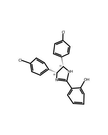 Oc1ccccc1C1=N[C@H](c2ccc(Cl)cc2)[C@H](c2ccc(Cl)cc2)N1